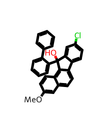 COc1ccc2c3c(ccc2c1)-c1ccc(Cl)cc1C3(O)c1ccccc1-c1ccccc1